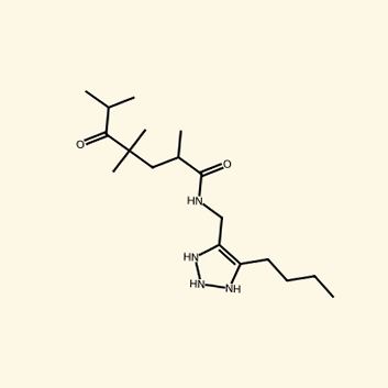 CCCCC1=C(CNC(=O)C(C)CC(C)(C)C(=O)C(C)C)NNN1